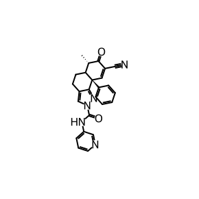 C[C@@H]1C(=O)C(C#N)=C[C@]2(c3ccccc3)c3nn(C(=O)Nc4cccnc4)cc3CCC12